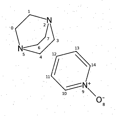 C1CN2CCN1CC2.[O-][n+]1ccccc1